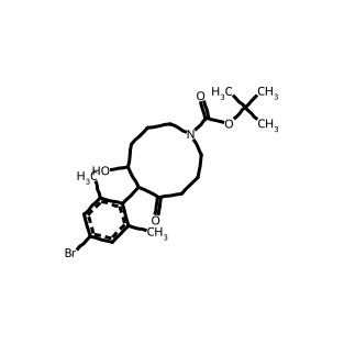 Cc1cc(Br)cc(C)c1C1C(=O)CCCN(C(=O)OC(C)(C)C)CCCC1O